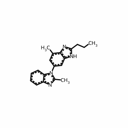 CCCc1nc2c(C)cc(-n3c(C)nc4ccccc43)cc2[nH]1